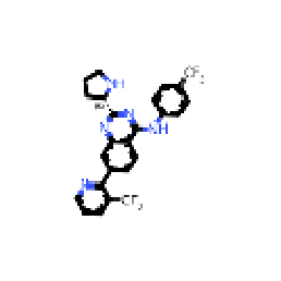 FC(F)(F)c1ccc(Nc2nc([C@@H]3CCCN3)nc3cc(-c4ncccc4C(F)(F)F)ccc23)cc1